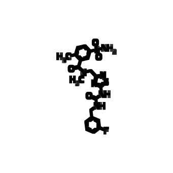 Cc1ccc(S(N)(=O)=O)cc1C(=O)N(C)Cc1nsc(NC(=O)NCc2cccc(F)c2)n1